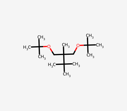 CC(C)(C)OCC(C)(COC(C)(C)C)C(C)(C)C